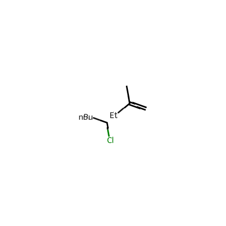 C=C(C)CC.CCCCCCl